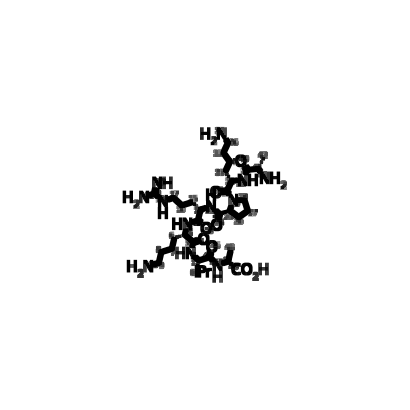 CC(C)[C@H](NC(=O)[C@H](CCCCN)NC(=O)[C@H](CCCNC(=N)N)NC(=O)[C@@H]1CCCN1C(=O)[C@H](CCCCN)NC(=O)[C@H](C)N)C(=O)N[C@@H](C)C(=O)O